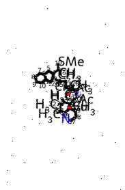 CSCC(C)c1cc2ccccc2cc1C(C)(C)CCC(C)(C)/C(C(C)=O)=C(/C(C)=O)C(C)(C)CCC(C)C(C)c1ncccc1C(C)(C)C